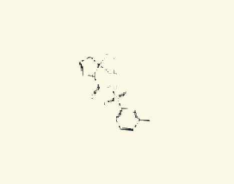 CC1(C)CC=NN1C(=O)NS(=O)(=O)c1cccc(Cl)c1